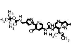 CO[C@@H](C)c1c(NC(=O)Nc2cnc(-n3cc(CNC(=O)OC(C)(C)C)cn3)c(Cl)c2)cnc2cc(Cl)nn12